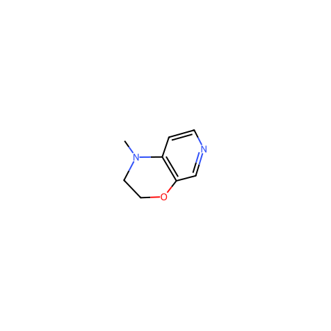 CN1CCOc2cnccc21